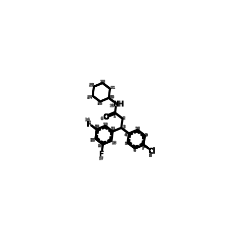 O=C(CC(c1ccc(Cl)cc1)c1cc(F)cc(F)c1)NC1CCCCC1